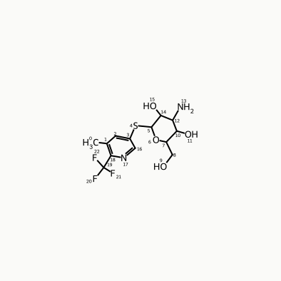 Cc1cc(SC2OC(CO)C(O)C(N)C2O)cnc1C(F)(F)F